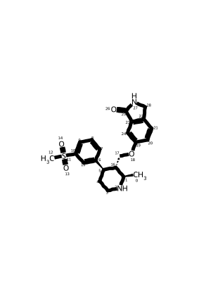 C[C@H]1NCC[C@@H](c2cccc(S(C)(=O)=O)c2)[C@@H]1COc1ccc2c(c1)C(=O)NC2